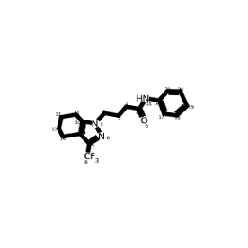 O=C(CCCn1nc(C(F)(F)F)c2c1CCCC2)Nc1ccccc1